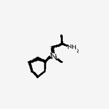 CC(N)[CH]N(C)C1CCCCC1